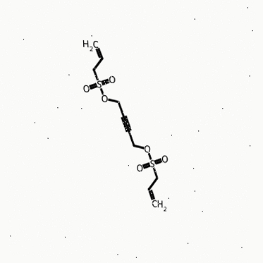 C=CCS(=O)(=O)OCC#CCOS(=O)(=O)CC=C